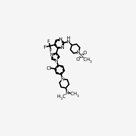 CN(C)C1CCN(c2ccc(-n3cnc(-c4nc(NC5CCN(S(C)(=O)=O)CC5)ncc4C(F)(F)F)c3)c(Cl)c2)CC1